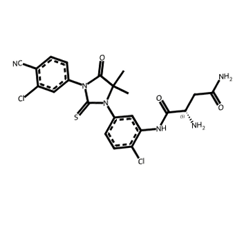 CC1(C)C(=O)N(c2ccc(C#N)c(Cl)c2)C(=S)N1c1ccc(Cl)c(NC(=O)[C@@H](N)CC(N)=O)c1